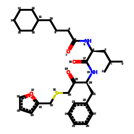 CC(C)C[C@H](NC(=O)CCCC1CCCCC1)C(=O)N[C@@H](Cc1ccccc1)C(=O)CSCc1ccco1